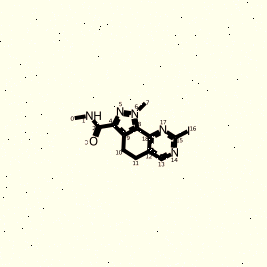 CNC(=O)c1nn(C)c2c1CCc1cnc(I)nc1-2